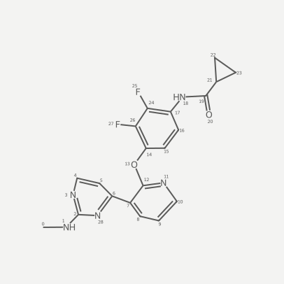 CNc1nccc(-c2cccnc2Oc2ccc(NC(=O)C3CC3)c(F)c2F)n1